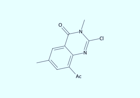 CC(=O)c1cc(C)cc2c(=O)n(C)c(Cl)nc12